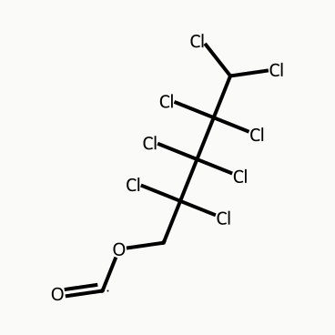 O=[C]OCC(Cl)(Cl)C(Cl)(Cl)C(Cl)(Cl)C(Cl)Cl